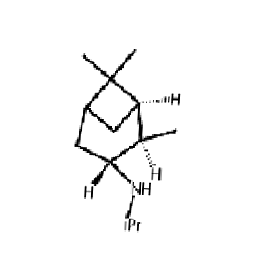 CC(C)N[C@@H]1CC2C[C@H]([C@H]1C)C2(C)C